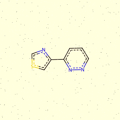 c1cnnc(-c2cscn2)c1